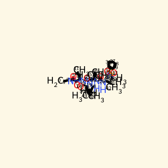 C=CCNC(=O)C(=O)C(CCC)NC(=O)[C@@H]1[C@@H]2[C@H](CN1C(=O)[C@@H](NC(=O)N[C@H](CN(C)S(=O)(=O)c1ccccc1)C(C)C)C(C)(C)C)C2(C)C